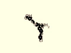 Nc1nc2c(c(N3CCN(CCOC[C@H]4CC[C@@H](C(=O)O)CC4)CC3)n1)CCc1cc(OCc3ccc(Cl)cc3)ccc1-2